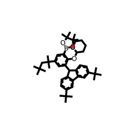 CC(C)(C)CC(C)(C)c1cc(B2OC(C)(C)C(C)(C)O2)c(OC2CCCCO2)c(C2c3ccc(C(C)(C)C)cc3-c3cc(C(C)(C)C)ccc32)c1